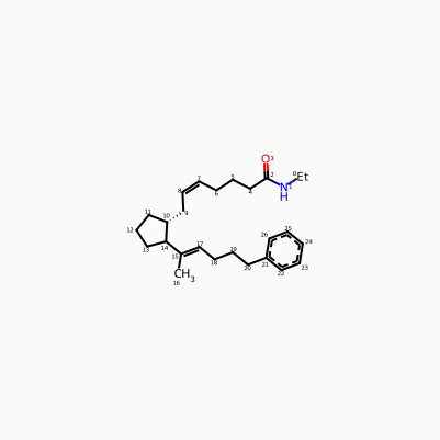 CCNC(=O)CCC/C=C\C[C@H]1CCCC1/C(C)=C/CCCc1ccccc1